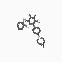 Cc1c2nc3ccccc3oc-2c(-c2ccc(N3CCN(C)CC3)cc2)c(=O)c1C